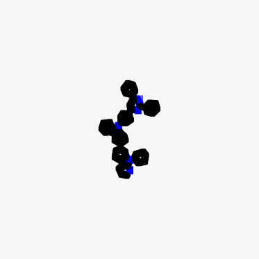 c1ccc(-c2cc(-c3ccc(-n4c5ccccc5c5cc(-c6ccc7c8cccnc8n(-c8ccccc8)c7c6)ccc54)cc3)nc(-c3ccccc3)n2)cc1